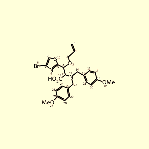 C=CCOC(c1nc(Br)cs1)C(C(=O)O)N(Cc1ccc(OC)cc1)Cc1ccc(OC)cc1